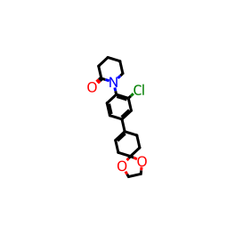 O=C1CCCCN1c1ccc(C2=CCC3(CC2)OCCO3)cc1Cl